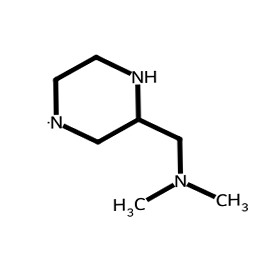 CN(C)CC1C[N]CCN1